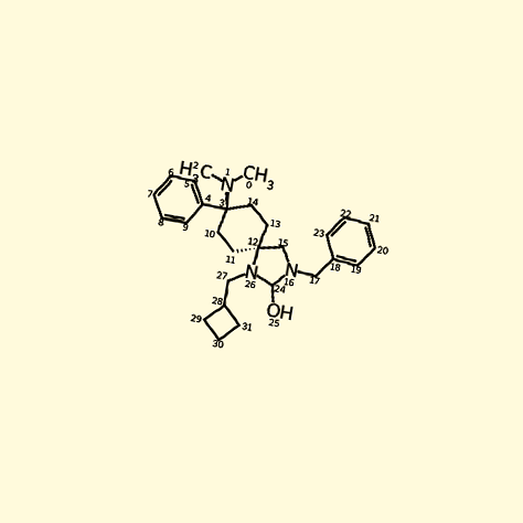 CN(C)[C@]1(c2ccccc2)CC[C@]2(CC1)CN(Cc1ccccc1)C(O)N2CC1CCC1